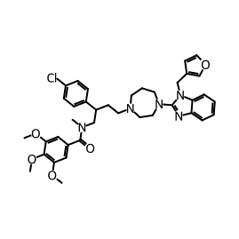 COc1cc(C(=O)N(C)CC(CCN2CCCN(c3nc4ccccc4n3Cc3ccoc3)CC2)c2ccc(Cl)cc2)cc(OC)c1OC